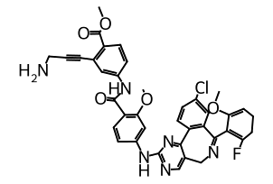 COC(=O)c1ccc(NC(=O)c2ccc(Nc3ncc4c(n3)-c3ccc(Cl)cc3C(C3=C(F)CCC=C3OC)=NC4)cc2OC)cc1C#CCN